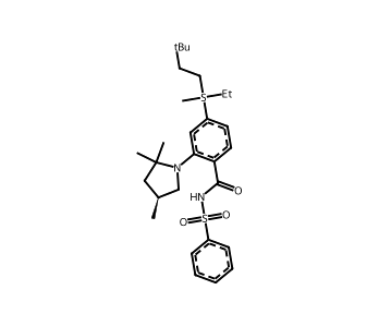 CCS(C)(CCC(C)(C)C)c1ccc(C(=O)NS(=O)(=O)c2ccccc2)c(N2C[C@@H](C)CC2(C)C)c1